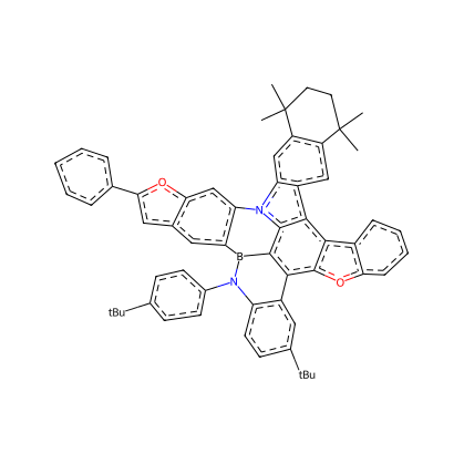 CC(C)(C)c1ccc(N2B3c4cc5cc(-c6ccccc6)oc5cc4-n4c5cc6c(cc5c5c7c(oc8ccccc87)c(c3c54)-c3cc(C(C)(C)C)ccc32)C(C)(C)CCC6(C)C)cc1